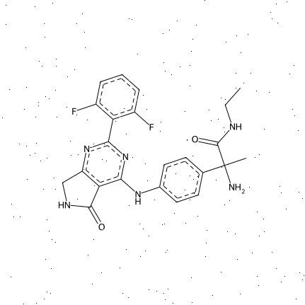 CCNC(=O)C(C)(N)c1ccc(Nc2nc(-c3c(F)cccc3F)nc3c2C(=O)NC3)cc1